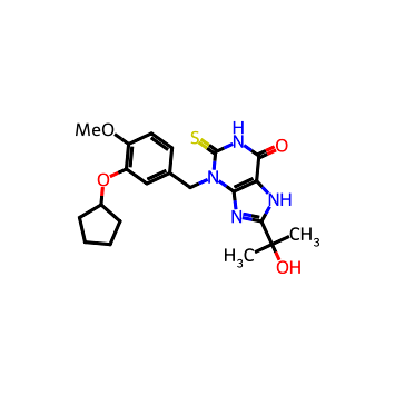 COc1ccc(Cn2c(=S)[nH]c(=O)c3[nH]c(C(C)(C)O)nc32)cc1OC1CCCC1